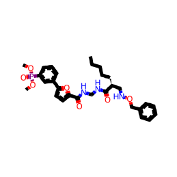 CCCCC[C@H](CNOCc1ccccc1)C(=O)NCNC(=O)c1ccc(-c2cccc(P(=O)(OC)OC)c2)o1